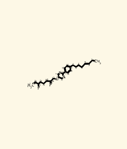 CCCCCCCCc1ccc(-c2ncc(OCC(F)CCCC(F)CC)cn2)cc1